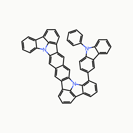 c1ccc(-n2c3ccccc3c3cc(-c4cccc5c6cccc7c8cc9cc%10c(cc9cc8n(c45)c76)c4cccc5c6ccccc6n%10c54)ccc32)cc1